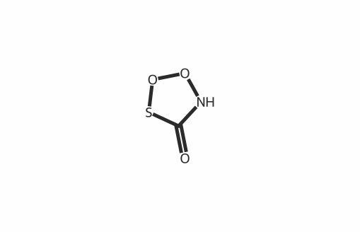 O=C1NOOS1